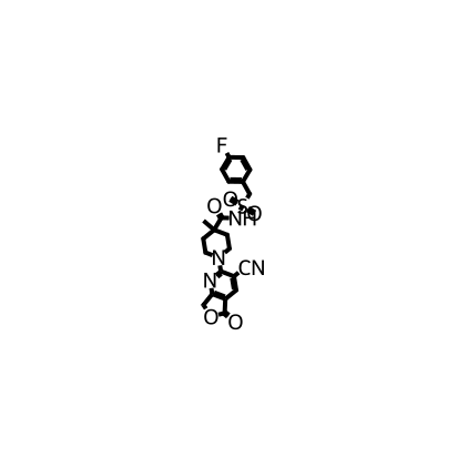 CC1(C(=O)NS(=O)(=O)Cc2ccc(F)cc2)CCN(c2nc3c(cc2C#N)C(=O)OC3)CC1